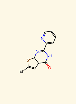 CCC1=CC2C(=O)NC(c3ccccn3)=NC2S1